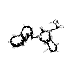 C=C(C)n1c(=O)n(Cc2cccc3ccccc23)c2ccccc21